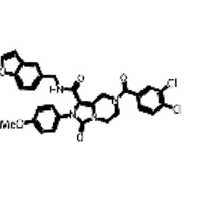 COc1ccc(-n2c(C(=O)NCc3ccc4occc4c3)c3n(c2=O)CCN(C(=O)c2ccc(Cl)c(Cl)c2)C3)cc1